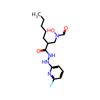 CCCCCC(CN(O)C=O)C(=O)NNc1cccc(F)n1